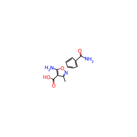 Cc1noc(N)c1C(=O)O.NC(=O)c1ccccc1